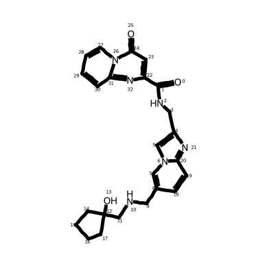 O=C(NCc1cn2cc(CNCC3(O)CCCC3)ccc2n1)c1cc(=O)n2ccccc2n1